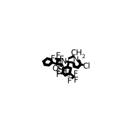 C=CC[C@@](NC(=O)[C@@](OC)(c1ccccc1)C(F)(F)F)(c1cc(F)cc(C(F)(F)F)c1)c1ccc(Cl)cn1